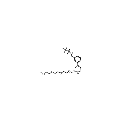 COCCOCCOCCOC[C@@H]1CN(c2nccc(CO[Si](C)(C)C(C)(C)C)n2)CCO1